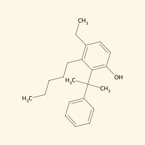 CCCCCc1c(CC)ccc(O)c1C(C)(C)c1ccccc1